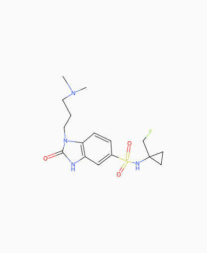 CN(C)CCCn1c(=O)[nH]c2cc(S(=O)(=O)NC3(CF)CC3)ccc21